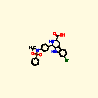 CN(c1ccc(C2NC(C(=O)O)Cc3c2[nH]c2cc(Br)ccc32)cc1)S(=O)(=O)c1ccccc1